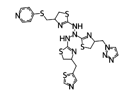 c1cc(SCC2CSC(NN(NC3=NC(Cc4cncs4)CS3)C3=NC(Cn4ccnn4)CS3)=N2)ccn1